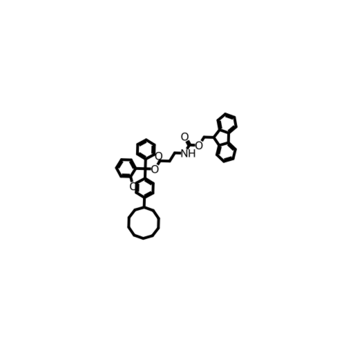 O=C(CCNC(=O)OCC1c2ccccc2-c2ccccc21)OC(c1ccccc1)(c1ccc(C2CCCCCCCCC2)cc1)c1ccccc1Cl